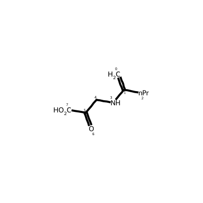 C=C(CCC)NCC(=O)C(=O)O